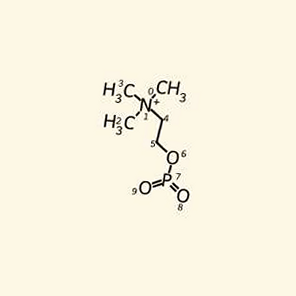 C[N+](C)(C)CCOP(=O)=O